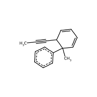 CC#CC1C=CC=CC1(C)c1ccccc1